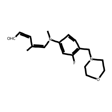 CC(/C=C\C=O)=C/N(C)c1ccc(CN2CCOCC2)c(F)c1